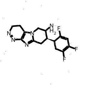 NC1Cn2c(nc3c2CCN=N3)C[C@@H]1C1CC(F)=C(F)C=C1F